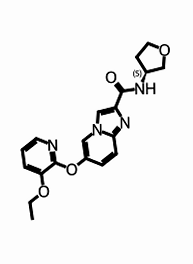 CCOc1cccnc1Oc1ccc2nc(C(=O)N[C@H]3CCOC3)cn2c1